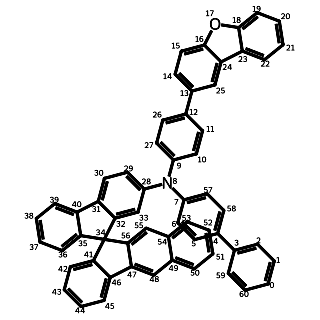 c1ccc(-c2ccc(N(c3ccc(-c4ccc5oc6ccccc6c5c4)cc3)c3ccc4c(c3)C3(c5ccccc5-4)c4ccccc4-c4cc5ccccc5cc43)cc2)cc1